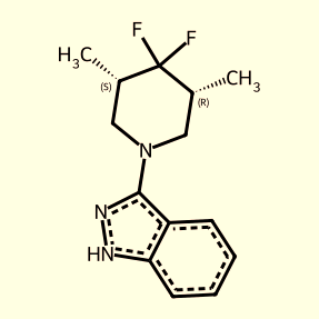 C[C@@H]1CN(c2n[nH]c3ccccc23)C[C@H](C)C1(F)F